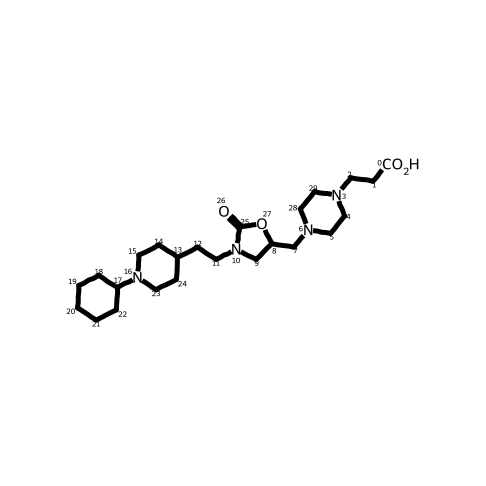 O=C(O)CCN1CCN(CC2CN(CCC3CCN(C4CCCCC4)CC3)C(=O)O2)CC1